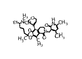 CCC(CCCC1(C)Oc2c(C)c3c(c(C4=CCOCC4)c2O1)CCN(Cc1c(C)cc(C)[nH]c1=O)C3=O)N(C)C